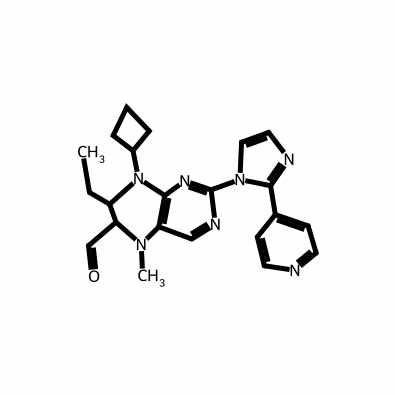 CCC1C(C=O)N(C)c2cnc(-n3ccnc3-c3ccncc3)nc2N1C1CCC1